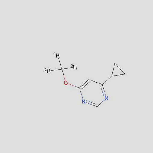 [2H]C([2H])([2H])Oc1cc(C2CC2)ncn1